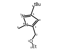 CCOCc1cc(C(C)(C)C)nn1C